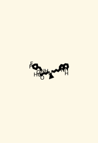 O=C(CC1CCC(F)(F)CC1)NC(CCN(CCCCc1ccc2c(n1)NCCC2)C1CC1)C(=O)O